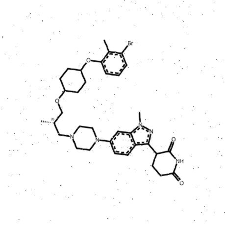 Cc1c(Br)cccc1OC1CCC(OC[C@@H](C)CN2CCN(c3ccc4c(C5CCC(=O)NC5=O)nn(C)c4c3)CC2)CC1